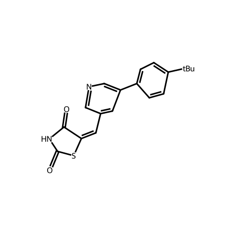 CC(C)(C)c1ccc(-c2cncc(C=C3SC(=O)NC3=O)c2)cc1